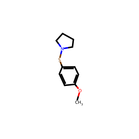 COc1ccc(SN2CCCC2)cc1